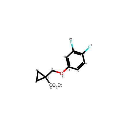 CCOC(=O)C1(COc2ccc(F)c(F)c2)CC1